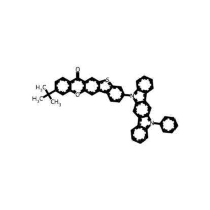 CC(C)(C)c1ccc2c(=O)c3cc4sc5cc(-n6c7ccccc7c7cc8c(cc76)c6ccccc6n8-c6ccccc6)ccc5c4cc3oc2c1